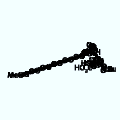 COCCOCCOCCOCCOCCOCCOCCOCCOCCOCCOCCOc1ccc(C[C@@H](C(=O)NCCCCc2ccc(COC(=O)C(C)(C)C)c(O[C@@H]3O[C@H](C(=O)O)[C@@H](O)[C@H](O)[C@H]3O)c2)N2C(=O)C=CC2=O)cc1